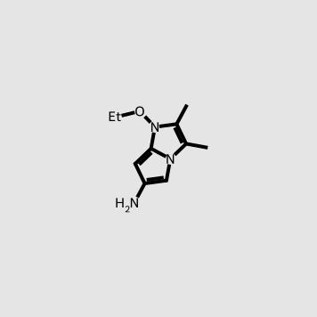 CCOn1c(C)c(C)n2cc(N)cc12